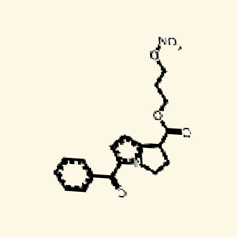 O=C(c1ccccc1)c1ccc2n1CCC2C(=O)OCCCO[N+](=O)[O-]